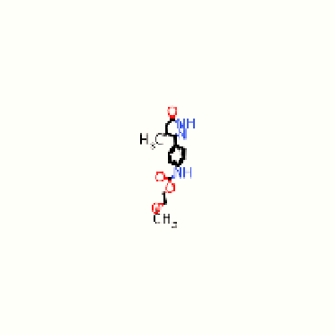 COCCOC(=O)Nc1ccc(C2=NNC(=O)CC2C)cc1